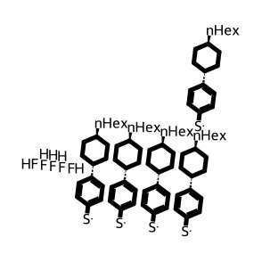 CCCCCC[C@H]1CC[C@H](c2ccc([S])cc2)CC1.CCCCCC[C@H]1CC[C@H](c2ccc([S])cc2)CC1.CCCCCC[C@H]1CC[C@H](c2ccc([S])cc2)CC1.CCCCCC[C@H]1CC[C@H](c2ccc([S])cc2)CC1.CCCCCC[C@H]1CC[C@H](c2ccc([S])cc2)CC1.F.F.F.F.F